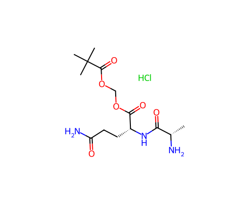 C[C@H](N)C(=O)N[C@H](CCC(N)=O)C(=O)OCOC(=O)C(C)(C)C.Cl